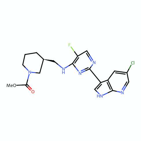 COC(=O)N1CCC[C@@H](CNc2nc(-c3c[nH]c4ncc(Cl)cc34)ncc2F)C1